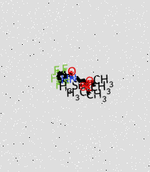 CC(C)OC(CCCNC(=O)c1c(F)c(F)c(F)c(F)c1F)(O[SiH3])OC(C)C